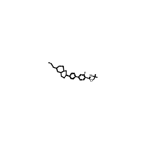 CCCC1CCC2CC(c3ccc(-c4ccc(C5=NC(C)(C)CO5)c(F)c4)cc3)CCC2C1